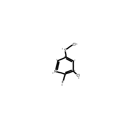 Fc1ncc(SCl)cc1Cl